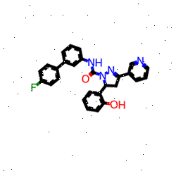 O=C(Nc1cccc(-c2ccc(F)cc2)c1)N1N=C(c2cccnc2)CC1c1ccccc1O